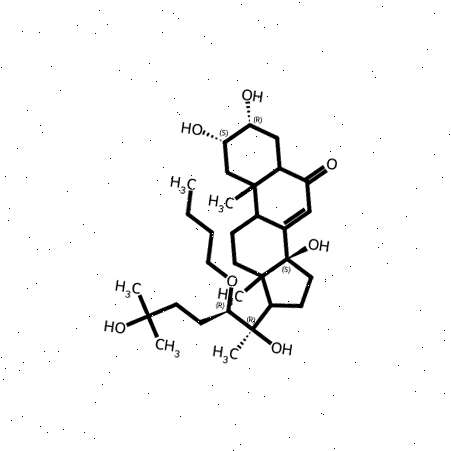 CCCCO[C@H](CCC(C)(C)O)[C@](C)(O)C1CC[C@@]2(O)C3=CC(=O)C4C[C@@H](O)[C@@H](O)CC4(C)C3CCC12C